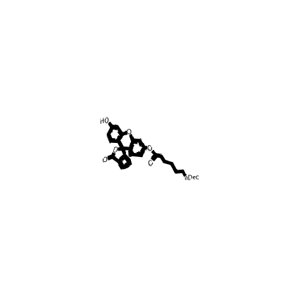 CCCCCCCCCCCCCCCC(=O)Oc1ccc2c(c1)Oc1cc(O)ccc1C21OC(=O)c2ccccc21